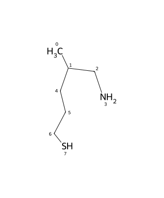 CC(CN)CCCS